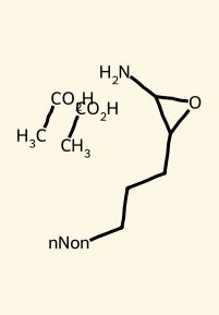 CC(=O)O.CC(=O)O.CCCCCCCCCCCCC1OC1N